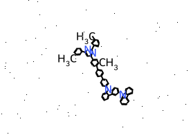 Cc1cccc(-c2cc(-c3ccc(-c4ccc(-c5ccc(-n6c7ccccc7c7cc(-n8c9ccccc9c9ccccc98)ccc76)cc5)cc4)c(C)c3)nc(-c3cccc(C)c3)n2)c1